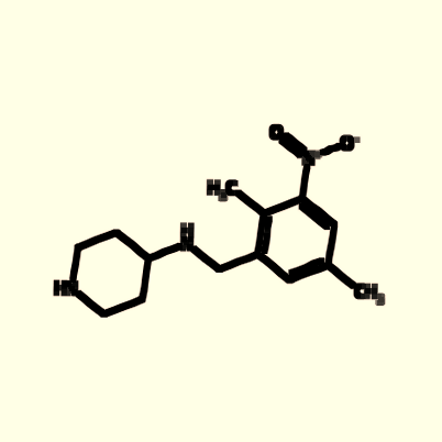 Cc1cc(CNC2CCNCC2)c(C)c([N+](=O)[O-])c1